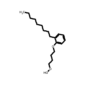 CCCCCCCCCc1ccccc1OCCCCOO